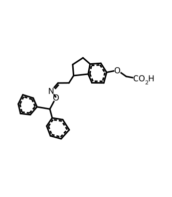 O=C(O)COc1ccc2c(c1)CCC2C/C=N\OC(c1ccccc1)c1ccccc1